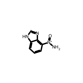 N[N+](=O)c1cccc2[nH][c]nc12